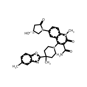 Cc1ccc2oc(C3(C)CCN(c4c(C(N)=O)c(=O)n(C)c5ccc(N6C[C@H](O)CC6=O)cc45)CC3)nc2c1